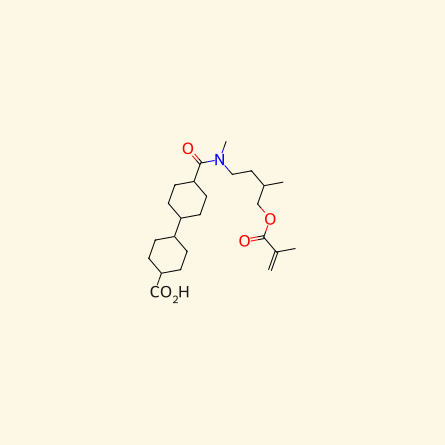 C=C(C)C(=O)OCC(C)CCN(C)C(=O)C1CCC(C2CCC(C(=O)O)CC2)CC1